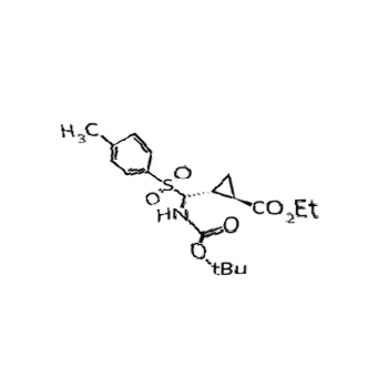 CCOC(=O)[C@@H]1C[C@H]1C(NC(=O)OC(C)(C)C)S(=O)(=O)c1ccc(C)cc1